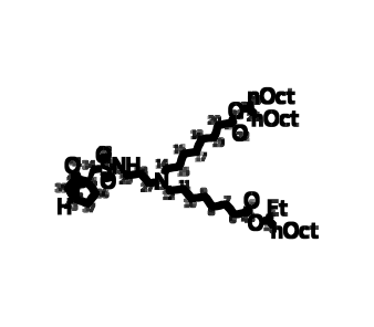 CCCCCCCCC(CC)OC(=O)CCCCCCCN(CCCCCCCC(=O)OC(CCCCCCCC)CCCCCCCC)CCCNS(=O)(=O)C[C@]12CC[C@@H](CC1=O)C2